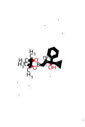 CCC/C(=C\B1OC(C)(C)C(C)(C)O1)C(O)(c1ccccc1)C1CC1